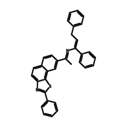 C/C(=N\C(=C/Cc1ccccc1)c1ccccc1)c1ccc2ccc3nc(-c4ccccc4)sc3c2c1